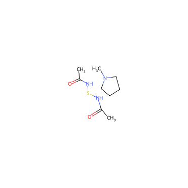 CC(=O)NSNC(C)=O.CN1CCCC1